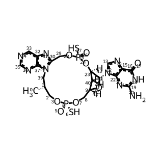 C[C@H]1COP(=O)(S)OC[C@H]2O[C@@H](n3cnc4c(=O)[nH]c(N)nc43)[C@H](OP(=O)(S)OCc3nc4cncnc4n3C1)[C@@H]2F